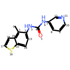 Cc1c(NC(=O)Nc2cccnc2)ccc2sccc12